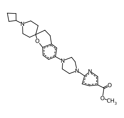 COC(=O)c1ccc(N2CCN(c3ccc4c(c3)CCC3(CCN(C5CCC5)CC3)O4)CC2)nc1